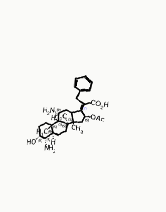 CC(=O)O[C@H]1C[C@@]2(C)C(C[C@@H](N)[C@H]3[C@@]4(C)CC[C@@H](O)[C@@H](N)[C@@H]4CC[C@@]32C)/C1=C(\Cc1ccccc1)C(=O)O